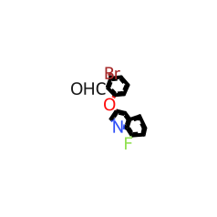 O=Cc1c(Br)cccc1Oc1cnc2c(F)cccc2c1